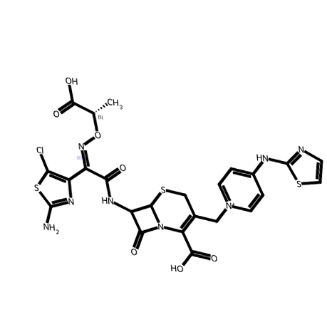 C[C@H](O/N=C(\C(=O)NC1C(=O)N2C(C(=O)O)=C(C[n+]3ccc(Nc4nccs4)cc3)CSC12)c1nc(N)sc1Cl)C(=O)O